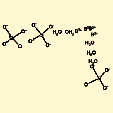 O.O.O.O.O.[B+3].[B+3].[B+3].[B+3].[O-][Si]([O-])([O-])[O-].[O-][Si]([O-])([O-])[O-].[O-][Si]([O-])([O-])[O-]